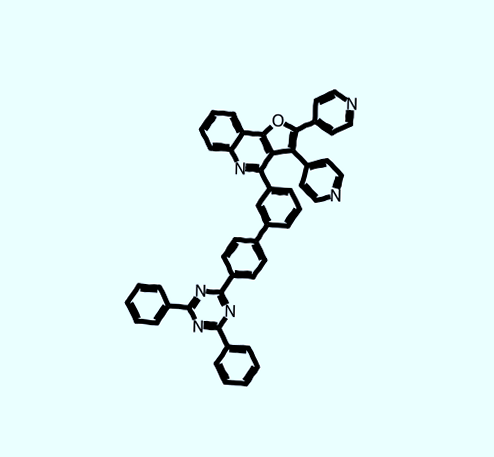 c1ccc(-c2nc(-c3ccccc3)nc(-c3ccc(-c4cccc(-c5nc6ccccc6c6oc(-c7ccncc7)c(-c7ccncc7)c56)c4)cc3)n2)cc1